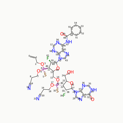 C=CCOP(=S)(OCCC#N)[C@@H]1C(COP(=S)(OCCC#N)[C@@H]2C(CO)OC(n3cnc4c(=O)[nH]cnc43)[C@@H]2F)OC(n2cnc3c(NC(=O)c4ccccc4)ncnc32)[C@@H]1F